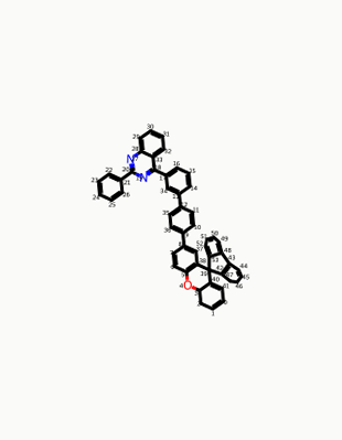 C1=CCC2Oc3ccc(-c4ccc(-c5cccc(-c6nc(-c7ccccc7)nc7ccccc67)c5)cc4)cc3C3(C2=C1)C1=C(C=CCC1)c1ccccc13